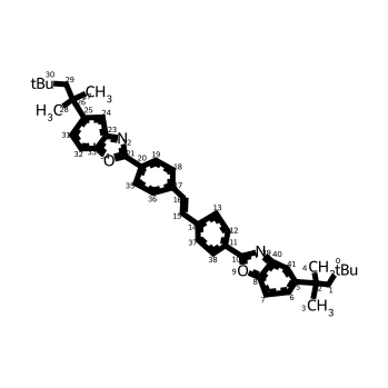 CC(C)(C)CC(C)(C)c1ccc2oc(-c3ccc(C=Cc4ccc(-c5nc6cc(C(C)(C)CC(C)(C)C)ccc6o5)cc4)cc3)nc2c1